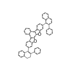 c1ccc(C2=C(c3ccc4c(c3)oc3c5oc6cc(-c7c(-c8ccccc8)ccc8ccccc78)ccc6c5c5ccccc5c43)c3ccccc3CC2)cc1